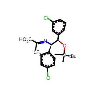 CC(C)(C)[Si](C)(C)O[C@H](c1cccc(Cl)c1)[C@H](/N=C(/C(=O)O)C(F)(F)F)c1ccc(Cl)cc1